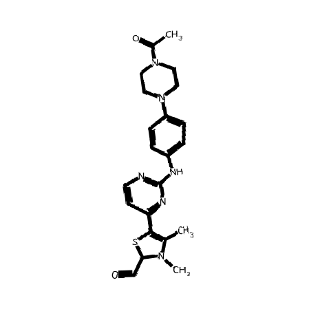 CC(=O)N1CCN(c2ccc(Nc3nccc(C4=C(C)N(C)C(C=O)S4)n3)cc2)CC1